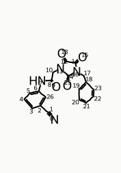 N#Cc1cccc(NC(=O)CN2C(=O)C(=O)N(Cc3ccccc3)C2=O)c1